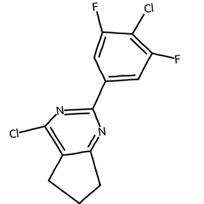 Fc1cc(-c2nc(Cl)c3c(n2)CCC3)cc(F)c1Cl